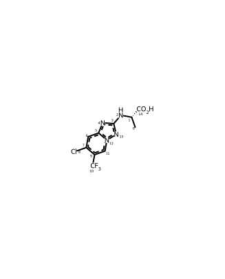 C[C@H](Nc1nc2cc(Cl)c(C(F)(F)F)cn2n1)C(=O)O